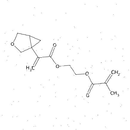 C=C(C)C(=O)OCCOC(=O)C(=C)C12COCC1C2